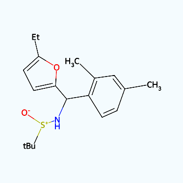 CCc1ccc(C(N[S+]([O-])C(C)(C)C)c2ccc(C)cc2C)o1